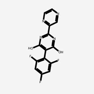 Oc1nc(-c2cnccn2)nc(O)c1-c1c(F)cc(F)cc1F